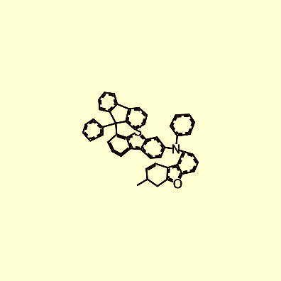 CC1C=Cc2c(oc3cccc(N(c4ccccc4)c4ccc5c6c(sc5c4)=C(C4(c5ccccc5)c5ccccc5-c5ccccc54)C=C=C=6)c23)C1